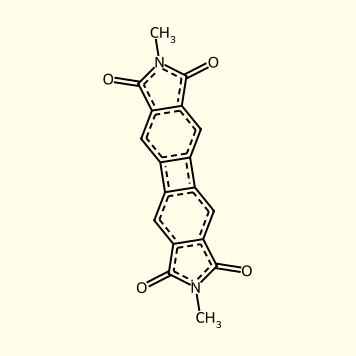 Cn1c(=O)c2cc3c(cc2c1=O)c1cc2c(=O)n(C)c(=O)c2cc31